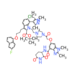 Cc1nn(C)c(C)c1-c1c(Cl)ccc2c(CCCOc3cccc4cc(F)ccc34)c(C(=O)OC(C)(C)C)n(CCN3CCN(C(=O)COc4cc(C(=O)NC5CCC(=O)NC5=O)c5nc(C)n(C)c5c4)CC3)c12